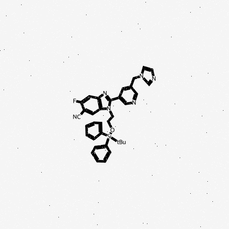 CC(C)(C)[Si](OCCn1c(-c2cncc(Cn3ccnc3)c2)nc2cc(F)c(C#N)cc21)(c1ccccc1)c1ccccc1